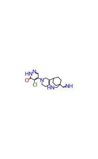 N=CC12CCC(CC1)C1=C(CCN(c3cn[nH]c(=O)c3Cl)C1)NC2